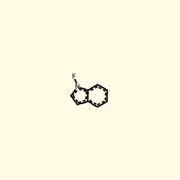 Fn1ccc2cc[c]cc21